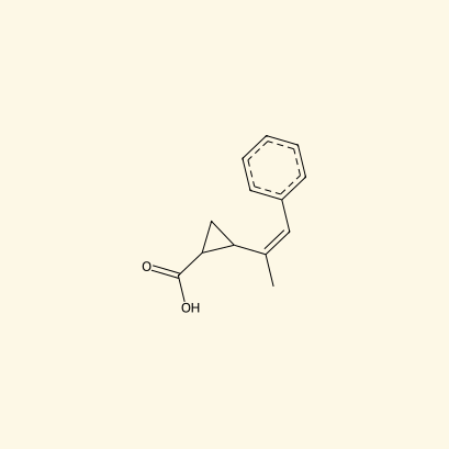 CC(=Cc1ccccc1)C1CC1C(=O)O